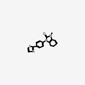 Cn1c2c(n(-c3ccc(-c4nccs4)cc3)c1=O)CCC=C2